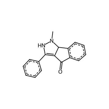 CN1NC(c2ccccc2)=C2C(=O)c3ccccc3C21